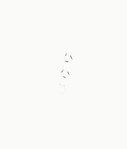 CN(C)CC1COc2cc(Nc3nccc(Cl)n3)ccc2O1